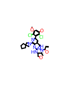 C=CC(=O)N[C@H]1COC[C@H]1Nc1ncc2cc(-c3c(Cl)c(OC)cc(OC)c3Cl)nc(N3CC4(CCCC4)C3)c2n1